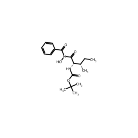 CC[C@H](C)[C@H](NC(=O)OC(C)(C)C)C(=O)N(O)C(=O)c1ccccc1